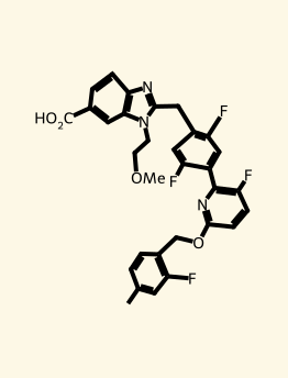 COCCn1c(Cc2cc(F)c(-c3nc(OCc4ccc(C)cc4F)ccc3F)cc2F)nc2ccc(C(=O)O)cc21